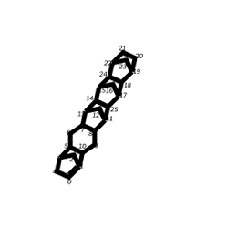 C1=C2CC(C1)C1CC3C(CC21)C1CC3C2C3CC(C4C5CCC(C5)C34)C12